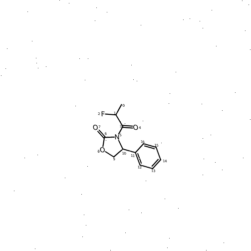 CC(F)C(=O)N1C(=O)OCC1c1ccccc1